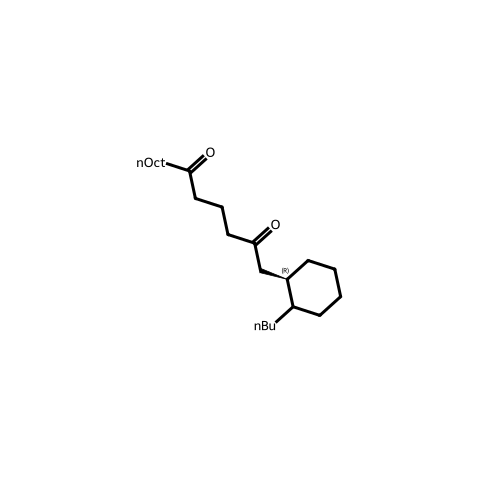 CCCCCCCCC(=O)CCCC(=O)C[C@H]1CCCCC1CCCC